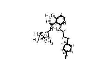 Cc1ccnc(SCCCc2ccc(F)cc2)c1C(=O)NCCC(C)(C)C